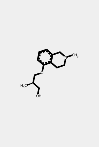 C[C@H](CO)COc1cccc2c1CCN(C)C2